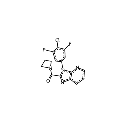 O=C(c1nc2cccnc2n1-c1cc(F)c(Cl)c(F)c1)N1CCC1